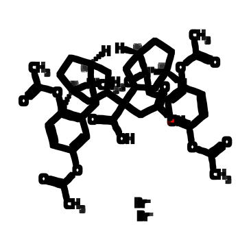 CC(=O)Oc1ccc(OC(C)=O)c(C[N+]2(C)[C@@H]3CC[C@H]2CC(C(CC(=O)O)(C(=O)O)C2C[C@H]4CC[C@@H](C2)[N+]4(C)Cc2cc(OC(C)=O)ccc2OC(C)=O)C3)c1.[Br-].[Br-]